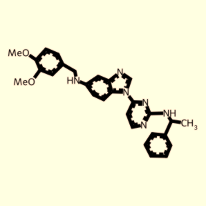 COc1ccc(CNc2ccc3c(c2)ncn3-c2ccnc(NC(C)c3ccccc3)n2)cc1OC